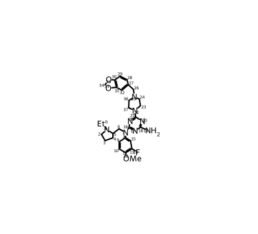 CCN1CCCC1CN(c1ccc(OC)c(F)c1)c1nc(N)nc(N2CCN(Cc3ccc4c(c3)OCO4)CC2)n1